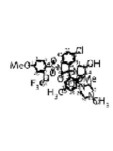 COc1ccc(S(=O)(=O)N2C(=O)C(c3cc(C)ccc3OC)(N3C[C@H](O)C[C@H]3C(=O)N3CCN(C)CC3)c3cc(Cl)ccc32)c(OC(F)(F)F)c1